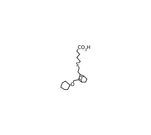 O=C(O)CCCCSCCC1C2CCC(O2)C1COC1CCCCC1